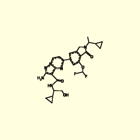 CC(C1CC1)N1Cc2cc(-c3ccn4nc(N)c(C(=O)NC(CO)C5CC5)c4n3)cc(OC(F)F)c2C1=O